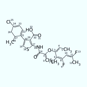 C=C(OC(=C/C)/C(C)=C(F)\C=C(/C)F)C(=O)Nc1scc(C2=CC=C(Cl)CC2C)c1C(=O)O